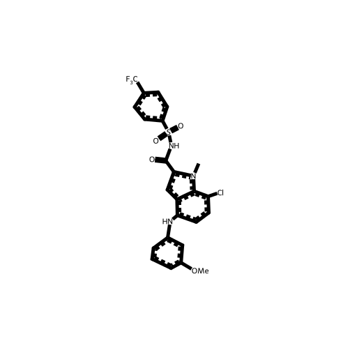 COc1cccc(Nc2ccc(Cl)c3c2cc(C(=O)NS(=O)(=O)c2ccc(C(F)(F)F)cc2)n3C)c1